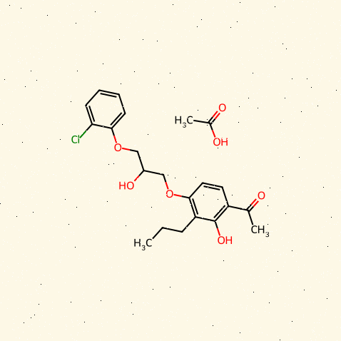 CC(=O)O.CCCc1c(OCC(O)COc2ccccc2Cl)ccc(C(C)=O)c1O